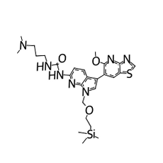 COc1nc2ncsc2cc1-c1cn(COCC[Si](C)(C)C)c2nc(NC(=O)NCCCN(C)C)ccc12